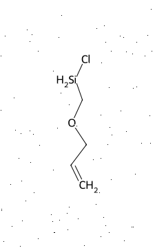 C=CCOC[SiH2]Cl